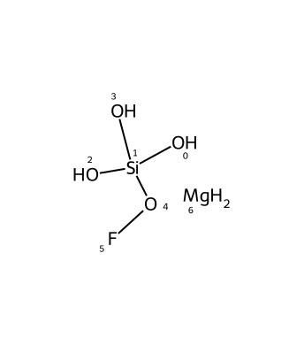 O[Si](O)(O)OF.[MgH2]